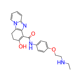 CCNCCOc1ccc(NC(=O)C2=C(O)CCc3c2nc2ccccn32)cc1